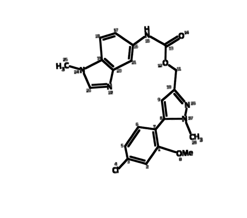 COc1cc(Cl)ccc1-c1cc(COC(=O)Nc2ccc3c(c2)ncn3C)nn1C